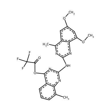 COc1cc(OC)c2nc(Nc3nc(OC(=O)C(F)(F)F)c4cccc(C)c4n3)nc(C)c2c1